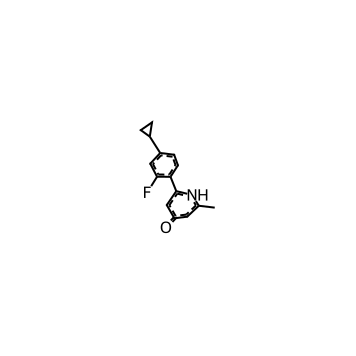 Cc1cc(=O)cc(-c2ccc(C3CC3)cc2F)[nH]1